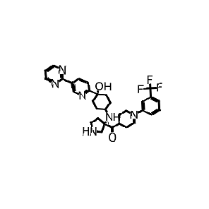 O=C(C1CCN(c2cccc(C(F)(F)F)c2)CC1)[C@]1(NC2CCC(O)(c3ccc(-c4ncccn4)cn3)CC2)CCNC1